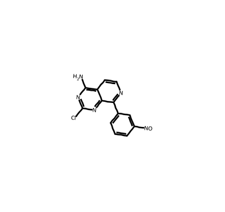 Nc1nc(Cl)nc2c(-c3cccc(N=O)c3)nccc12